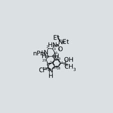 CCCN1C[C@@H](NC(=O)N(CC)CC)C[C@@H]2c3cc(C(C)O)cc4[nH]c(Cl)c(c34)C[C@H]21